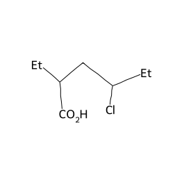 CCC(Cl)CC(CC)C(=O)O